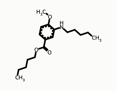 CCCCCNc1cc(C(=O)OCCCCC)ccc1OC